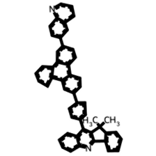 CC1(C)c2ccccc2-c2nc3ccccc3c(-c3ccc(-c4ccc5c6ccc(-c7ccc8ncccc8c7)cc6c6ccccc6c5c4)cc3)c21